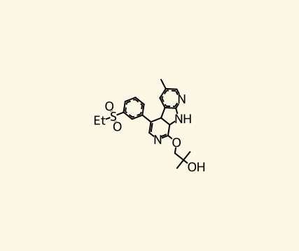 CCS(=O)(=O)c1cccc(C2=CN=C(OCC(C)(C)O)C3Nc4ncc(C)cc4C23)c1